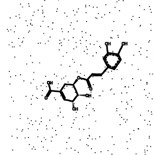 O=C(/C=C/c1ccc(O)c(O)c1)O[C@@H]1CC(C(=O)O)=C[C@@H](O)[C@H]1O